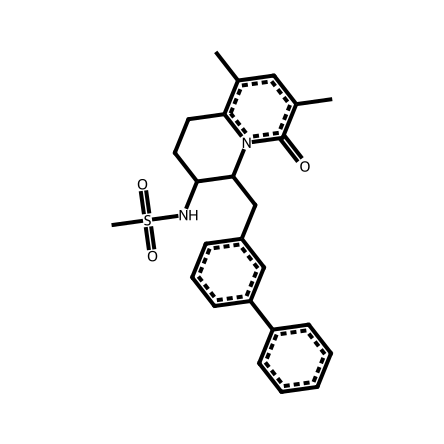 Cc1cc(C)c(=O)n2c1CCC(NS(C)(=O)=O)C2Cc1cccc(-c2ccccc2)c1